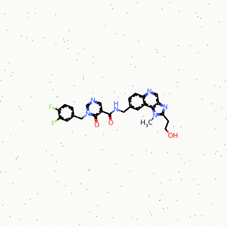 Cn1c(CCO)nc2cnc3ccc(CNC(=O)c4cncn(Cc5ccc(F)c(F)c5)c4=O)cc3c21